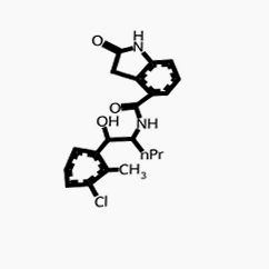 CCCC(NC(=O)c1cccc2c1CC(=O)N2)C(O)c1cccc(Cl)c1C